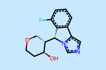 O[C@H]1CCOC[C@@H]1[C@@H]1c2c(F)cccc2-c2cncn21